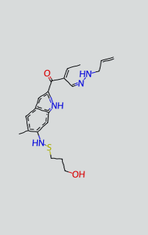 C=CCN/N=C\C(=C/C)C(=O)c1cc2cc(C)c(NSCCCO)cc2[nH]1